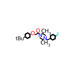 CC1CN(C(=O)COc2ccc(C(C)(C)C)cc2)C(C)CN1Cc1ccc(F)cc1